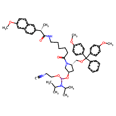 [C-]#[N+]CCOP(O[C@@H]1C[C@@H](COC(c2ccccc2)(c2ccc(OC)cc2)c2ccc(OC)cc2)N(C(=O)CCCCCNC(=O)[C@@H](C)c2ccc3cc(OC)ccc3c2)C1)N(C(C)C)C(C)C